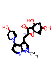 Cn1cc(/C=C2\Oc3cc(O)cc(O)c3C2=O)c2c(N3CCC(O)CC3)ccnc21